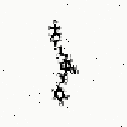 O=C(COc1ncc(C(F)(F)F)cn1)NC12CCC(NC(=O)COc3ccc(Cl)c(F)c3)(CC1)[C@@H](O)C2